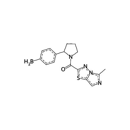 Bc1ccc(C2CCCN2C(=O)c2nn3c(C)ncc3s2)cc1